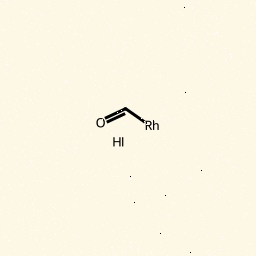 I.O=[CH][Rh]